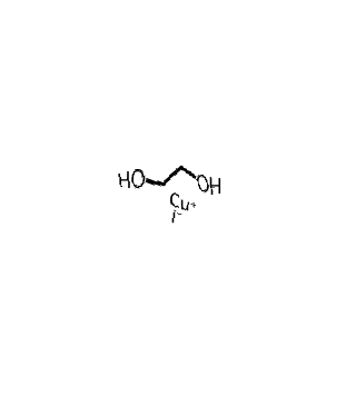 OCCO.[Cu+].[I-]